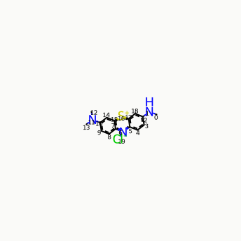 CNc1ccc2nc3ccc(N(C)C)cc3[s+]c2c1.[Cl-]